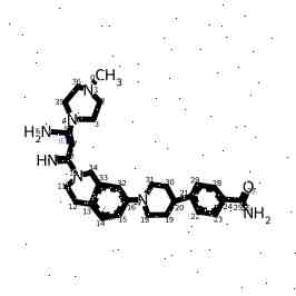 CN1CCN(/C(N)=C/C(=N)N2CCc3ccc(N4CCC(c5ccc(C(N)=O)cc5)CC4)cc3C2)CC1